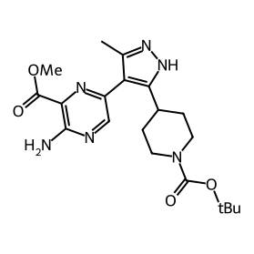 COC(=O)c1nc(-c2c(C)n[nH]c2C2CCN(C(=O)OC(C)(C)C)CC2)cnc1N